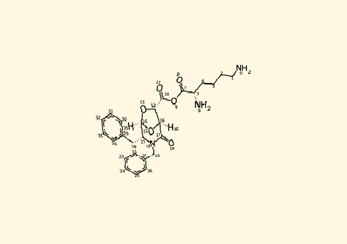 NCCCC[C@H](N)C(=O)OC(=O)[C@H]1O[C@H]2O[C@@H]1C(=O)N(Cc1ccccc1)[C@@H]2Cc1ccccc1